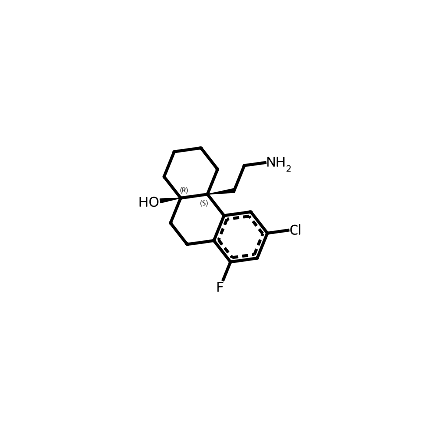 NCC[C@]12CCCC[C@@]1(O)CCc1c(F)cc(Cl)cc12